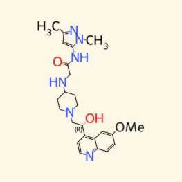 COc1ccc2nccc([C@@H](O)CN3CCC(NCC(=O)Nc4cc(C)nn4C)CC3)c2c1